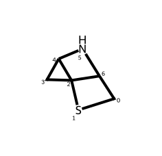 C1SC23CC2NC13